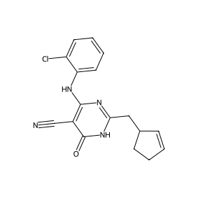 N#Cc1c(Nc2ccccc2Cl)nc(CC2C=CCC2)[nH]c1=O